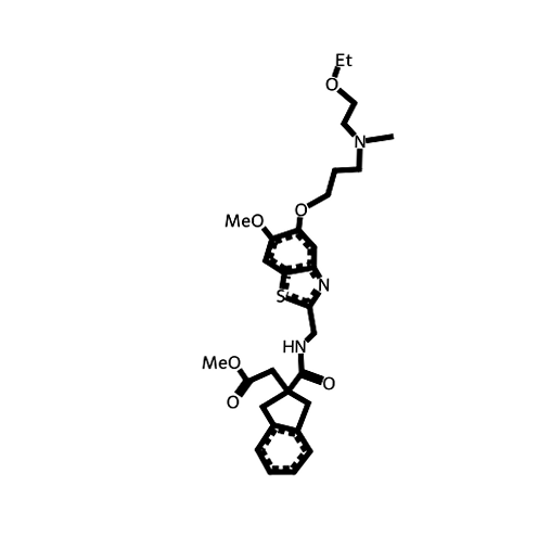 CCOCCN(C)CCCOc1cc2nc(CNC(=O)C3(CC(=O)OC)Cc4ccccc4C3)sc2cc1OC